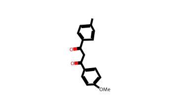 COc1ccc(C(=O)CC(=O)c2ccc(C)cc2)cc1